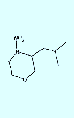 CC(C)CC1COCCN1N